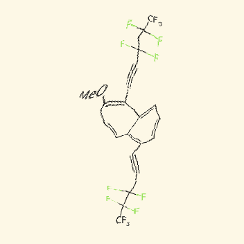 COc1ccc2c(C#CC(F)(F)C(F)(F)C(F)(F)F)cccc2c1C#CC(F)(F)C(F)(F)C(F)(F)F